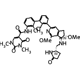 COc1nc(-c2cccc(-c3cccc(NC(=O)c4cn(C)c(=O)n(C)c4=O)c3C)c2Cl)cc2c1[C@@H](NC[C@@H]1CCC(=O)N1)[C@@H](OC)C2